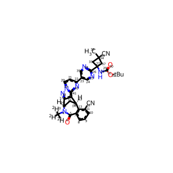 [2H]C([2H])([2H])N1C(=O)c2cccc(C#N)c2[C@H]2C[C@@H]1c1nn3ccc(-c4cnc(C5(NC(=O)OC(C)(C)C)CC(C)(C#N)C5)nc4)nc3c12